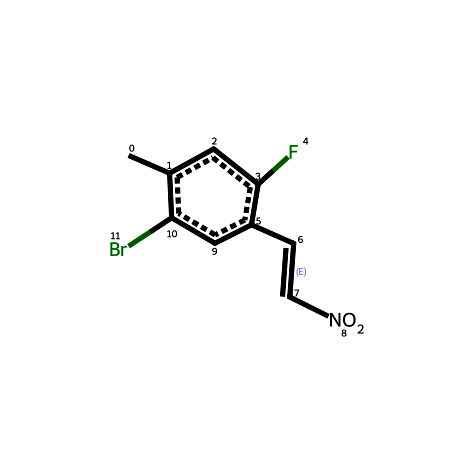 Cc1cc(F)c(/C=C/[N+](=O)[O-])cc1Br